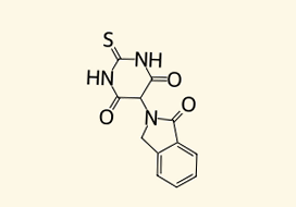 O=C1NC(=S)NC(=O)C1N1Cc2ccccc2C1=O